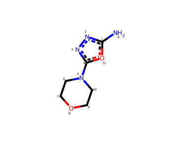 Nc1nnc(N2CCOCC2)o1